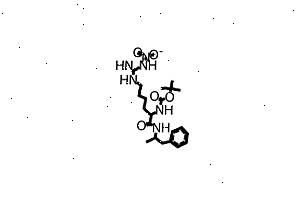 CC(Cc1ccccc1)NC(=O)C(CCCCNC(=N)N[N+](=O)[O-])NC(=O)OC(C)(C)C